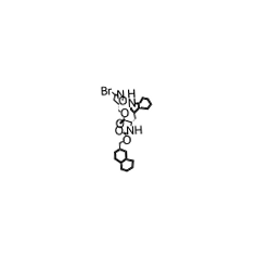 O=C(N[C@@H](Cc1c[nH]c2ccccc12)C(=O)OC[C@@H]1CC(Br)=NO1)OCc1ccc2ccccc2c1